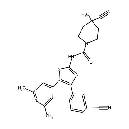 Cc1cc(-c2sc(NC(=O)N3CCC(C)(C#N)CC3)nc2-c2cccc(C#N)c2)cc(C)n1